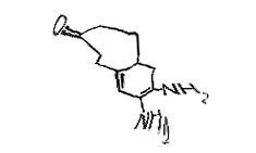 NC1=C(N)CC2CCC(=O)CC2=C1